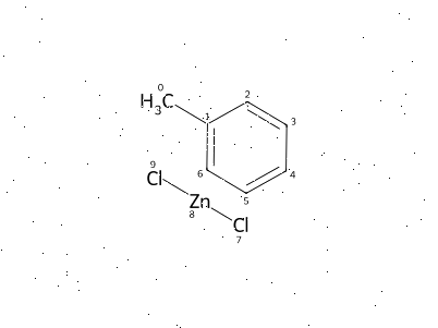 Cc1[c]cccc1.[Cl][Zn][Cl]